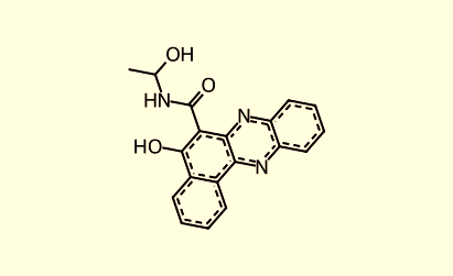 CC(O)NC(=O)c1c(O)c2ccccc2c2nc3ccccc3nc12